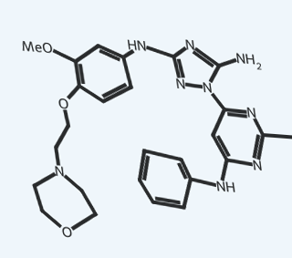 COc1cc(Nc2nc(N)n(-c3cc(Nc4ccccc4)nc(C)n3)n2)ccc1OCCN1CCOCC1